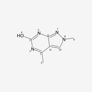 Cc1nc(O)nc2nn(C)cc12